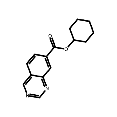 O=C(OC1CCCCC1)c1ccc2cncnc2c1